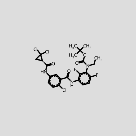 CCN(C(=O)OC(C)(C)C)c1c(F)ccc(NC(=O)c2cc(NC(=O)[C@H]3CC3(Cl)Cl)ccc2Cl)c1F